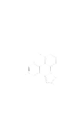 O=[N+]([O-])c1cccc2c1c1ccncc1c1ccnn12